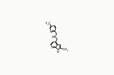 Cc1cc2c(CNCc3ccc(C(F)(F)F)cn3)ccnc2[nH]1